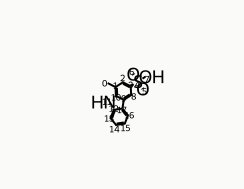 Cc1cc(S(=O)(=O)O)cc2c1[nH]c1ccccc12